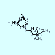 CC[N+](C)(C)CCCN(CC(N)=O)OC#N